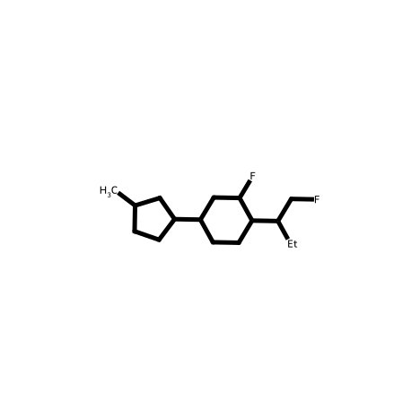 CCC(CF)C1CCC(C2CCC(C)C2)CC1F